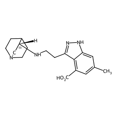 Cc1cc(C(=O)O)c2c(CCN[C@@H]3CN4CCC3CC4)n[nH]c2c1